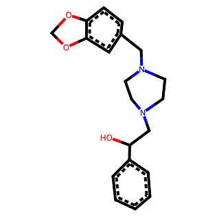 OC(CN1CCN(Cc2ccc3c(c2)OCO3)CC1)c1ccccc1